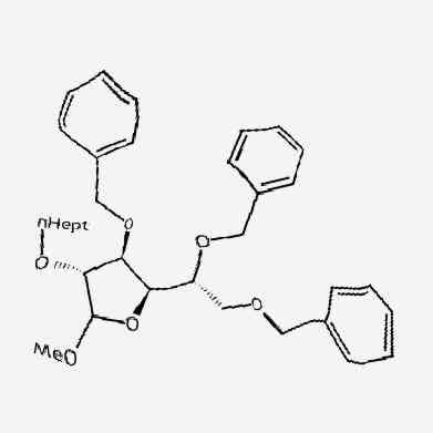 CCCCCCCO[C@H]1C(OC)O[C@H]([C@@H](COCc2ccccc2)OCc2ccccc2)[C@@H]1OCc1ccccc1